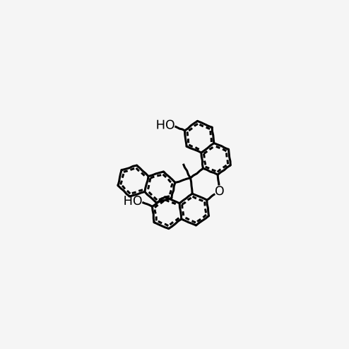 CC1(c2ccc3ccccc3c2)c2c(ccc3ccc(O)cc23)Oc2ccc3ccc(O)cc3c21